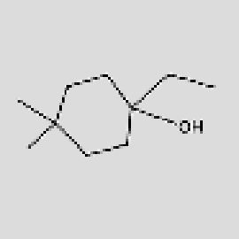 CCC1(O)CCC(C)(C)CC1